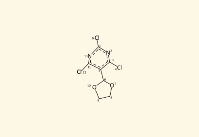 Clc1nc(Cl)c(C2OCCO2)c(Cl)n1